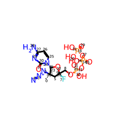 C[C@@]1(N=[N+]=[N-])C[C@@](F)(COP(=O)(O)OP(=O)(O)OP(=O)(O)O)O[C@H]1n1ccc(N)nc1=O